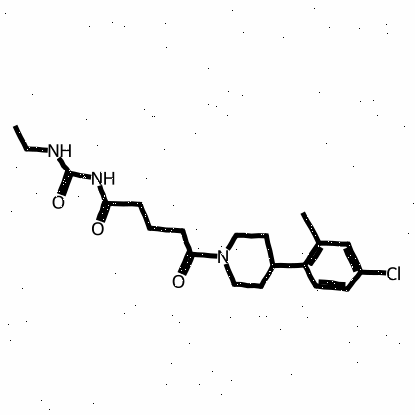 CCNC(=O)NC(=O)CCCC(=O)N1CCC(c2ccc(Cl)cc2C)CC1